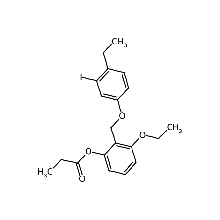 CCOc1cccc(OC(=O)CC)c1COc1ccc(CC)c(I)c1